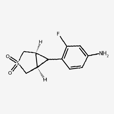 Nc1ccc(C2[C@H]3CS(=O)(=O)C[C@@H]23)c(F)c1